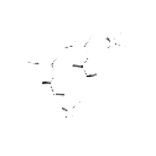 C=CC(=O)O[CH](C)[Ca][CH3].C=CC(=O)O[CH](C)[Mg][CH3].O=P(O)(O)O.O=P(O)(O)O